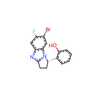 Oc1ccccc1[C@@H]1CCc2nc3cc(F)c(Br)cc3n21